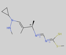 CNN(C=C(C)[C@@H](C)/N=C/N=C(\S)SC)C1CC1